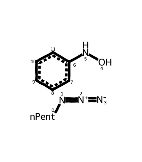 CCCCCN=[N+]=[N-].ONc1ccccc1